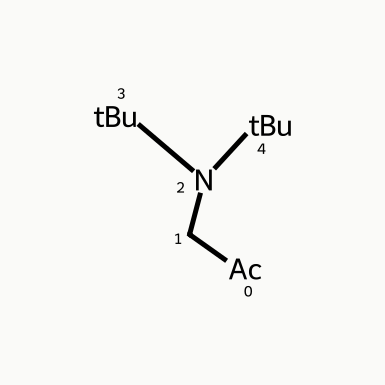 CC(=O)CN(C(C)(C)C)C(C)(C)C